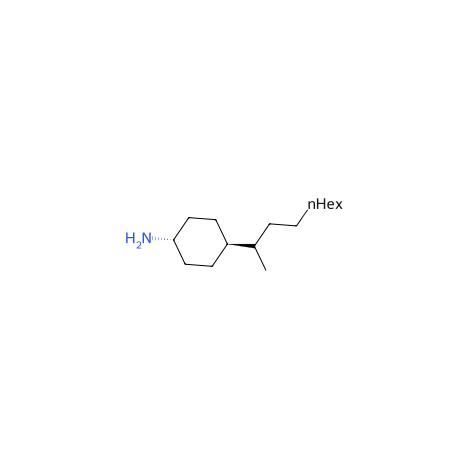 CCCCCCCCC(C)[C@H]1CC[C@H](N)CC1